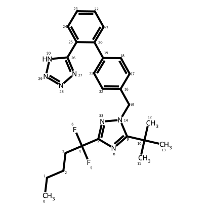 CCCCC(F)(F)c1nc(C(C)(C)C)n(Cc2ccc(-c3ccccc3-c3nnn[nH]3)cc2)n1